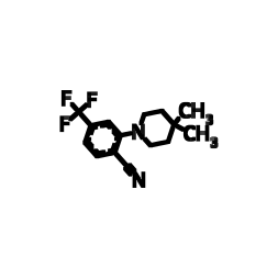 CC1(C)CCN(c2cc(C(F)(F)F)ccc2C#N)CC1